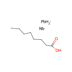 CCCCCCCC(=O)O.[Nb].[PbH2]